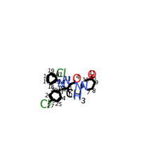 C[C@@H]1C(C(=O)NN2CCCC(=O)C2)=NN(c2ccccc2Cl)[C@@H]1c1ccc(Cl)cc1